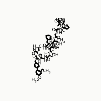 CCC[C@H](NC(=O)[C@H](Cc1ccc(-c2ccc(OC)cc2CC)cc1)NC(=O)CNC(=O)[C@H](CO)NC(=O)[C@@H](NC(=O)[C@](C)(Cc1ccccc1F)NC(=O)[C@@H](NC(=O)CNC(=O)[C@H](CCC(=O)O)NC(=O)[C@]1(C)CCCN1C(=O)CN)[C@@H](C)O)[C@@H](C)O)C(N)=O